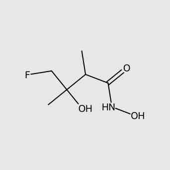 CC(C(=O)NO)C(C)(O)CF